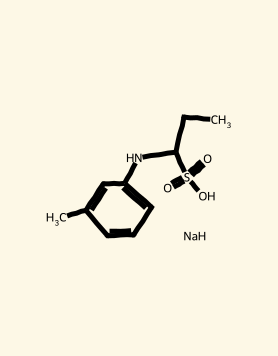 CCC(Nc1cccc(C)c1)S(=O)(=O)O.[NaH]